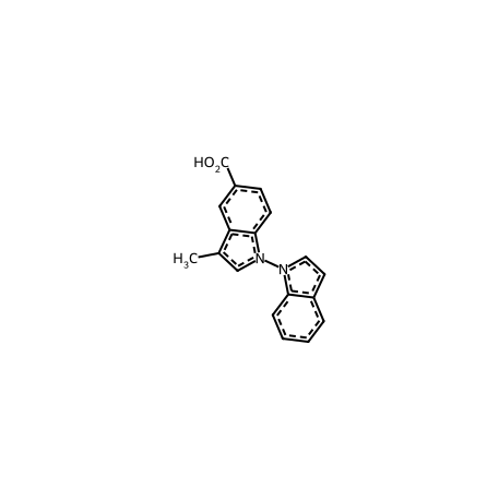 Cc1cn(-n2ccc3ccccc32)c2ccc(C(=O)O)cc12